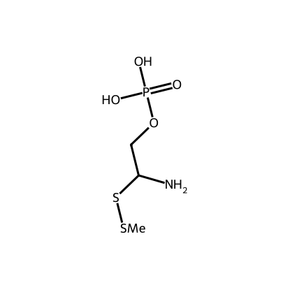 CSSC(N)COP(=O)(O)O